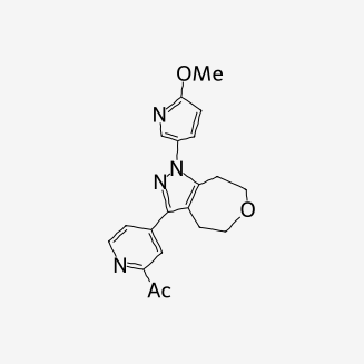 COc1ccc(-n2nc(-c3ccnc(C(C)=O)c3)c3c2CCOCC3)cn1